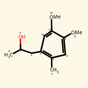 COc1cc(C)c(CC(C)O)cc1OC